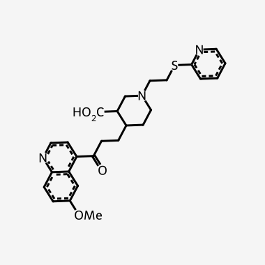 COc1ccc2nccc(C(=O)CCC3CCN(CCSc4ccccn4)CC3C(=O)O)c2c1